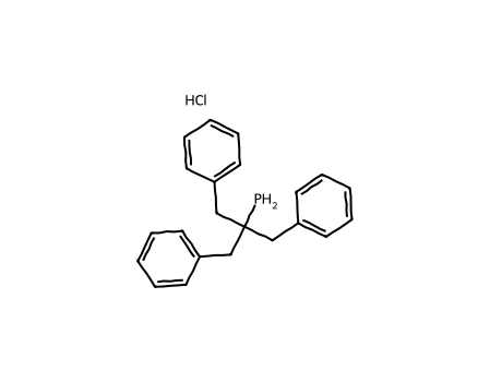 Cl.PC(Cc1ccccc1)(Cc1ccccc1)Cc1ccccc1